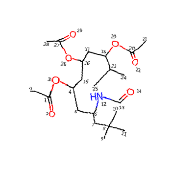 CC(=O)OC(CC(CC(C)(C)C)NC=O)CC(CC(OC(C)=O)C(C)C)OC(C)=O